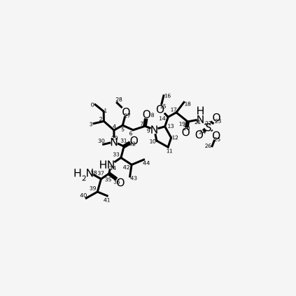 CCC(C)C(C(CC(=O)N1CCCC1C(OC)C(C)C(=O)NS(=O)(=O)OC)OC)N(C)C(=O)C(NC(=O)C(N)C(C)C)C(C)C